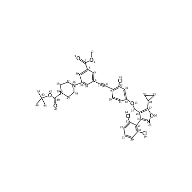 COC(=O)c1cc(C#Cc2ccc(OCc3c(-c4c(Cl)cccc4Cl)noc3C3CC3)cc2Cl)cc(N2CCN(C(=O)OC(C)(C)C)CC2)c1